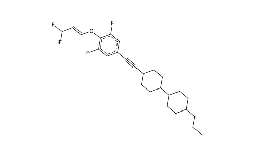 CCCC1CCC(C2CCC(C#Cc3cc(F)c(O/C=C/C(F)F)c(F)c3)CC2)CC1